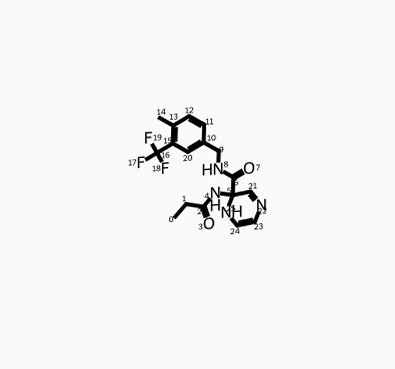 CCC(=O)NC1(C(=O)NCc2ccc(C)c(C(F)(F)F)c2)C=NC=CN1